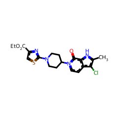 CCOC(=O)c1csc(N2CCC(n3ccc4c(Cl)c(C)[nH]c4c3=O)CC2)n1